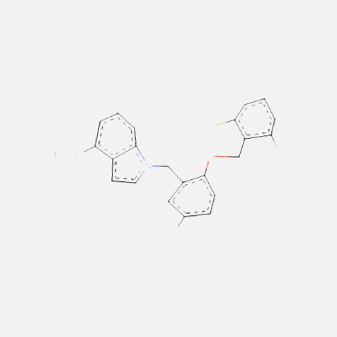 O=C(O)c1cccc2c1ccn2Cc1cc(C(F)(F)F)ccc1OCc1c(F)cccc1F